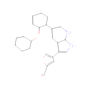 O=Cc1cc(C2CNC3NCC(C4CCCCC4OC4CCCCC4)CC32)co1